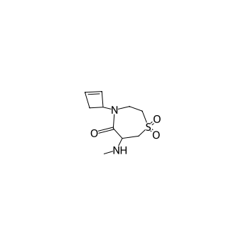 CNC1CS(=O)(=O)CCN(C2C=CC2)C1=O